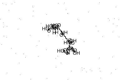 O=C(O)CC[C@H](NC(=O)N[C@@H](CCCCNC(=O)CCCCCCC(=O)N[C@@H](CCCCN(CC1=NC=CC1CC(=O)O)Cc1nccn1CC(=O)O)C(=O)O)C(=O)O)C(=O)O